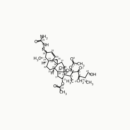 C=C(C(=O)[C@H](OC(C)=O)[C@@H](C)[C@H]1[C@@H](OC(C)=O)C[C@@]2(C)[C@@H]3CC[C@H]4[C@H](C)/C(=N/NC(N)=O)C=C[C@@]45C[C@@]35CC[C@]12C)[C@@H](C)CO